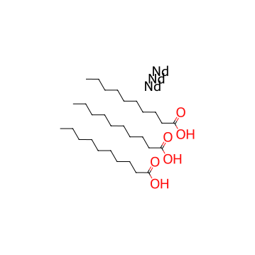 CCCCCCCCCC(=O)O.CCCCCCCCCC(=O)O.CCCCCCCCCC(=O)O.[Nd].[Nd].[Nd]